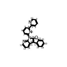 c1ccc(-c2cccc(-n3c4ncccc4c4c5ccccc5oc43)n2)nc1